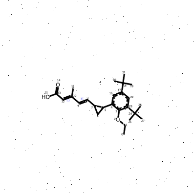 CCOc1c(C2CC2/C=C/C(C)=C/C(=O)O)cc(C(C)(C)C)cc1C(C)(C)C